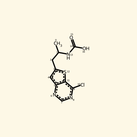 CC(Cc1cc2ncnc(Cl)c2s1)NC(=O)O